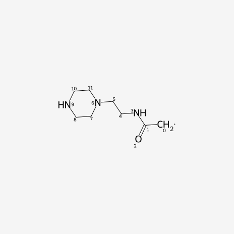 [CH2]C(=O)NCCN1CCNCC1